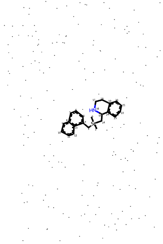 C[Si](C)(Cc1cccc2ccccc12)CC1NCCc2ccccc21